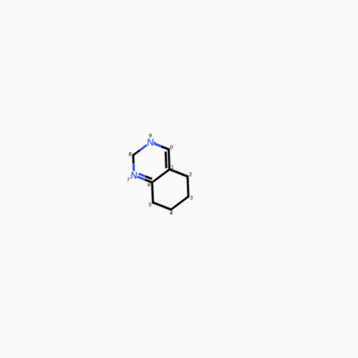 C1=C2CCCCC2=NC[N]1